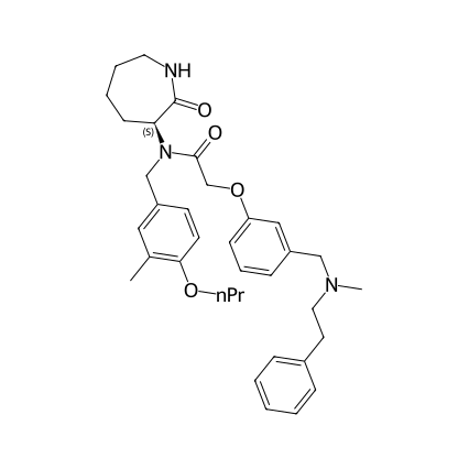 CCCOc1ccc(CN(C(=O)COc2cccc(CN(C)CCc3ccccc3)c2)[C@H]2CCCCNC2=O)cc1C